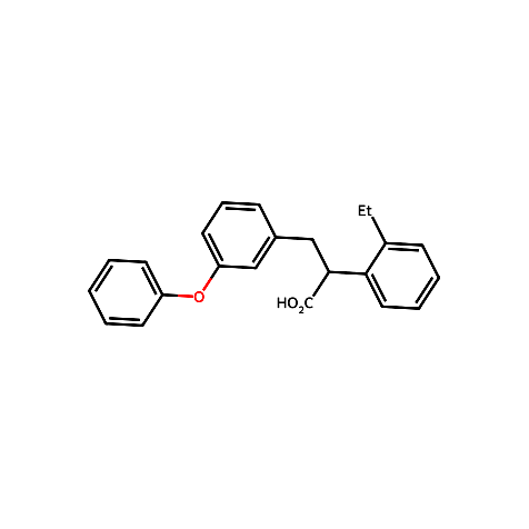 CCc1ccccc1C(Cc1cccc(Oc2ccccc2)c1)C(=O)O